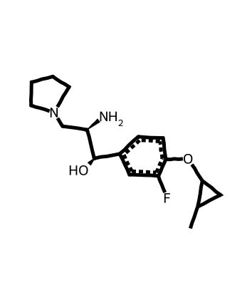 CC1CC1Oc1ccc([C@@H](O)[C@H](N)CN2CCCC2)cc1F